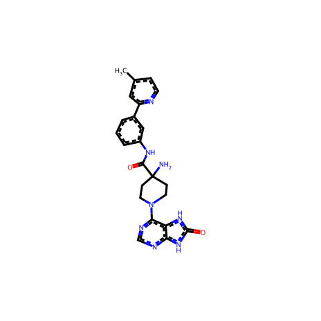 Cc1ccnc(-c2cccc(NC(=O)C3(N)CCN(c4ncnc5[nH]c(=O)[nH]c45)CC3)c2)c1